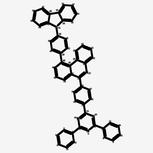 c1ccc(-c2nc(-c3ccccc3)nc(-c3ccc(-c4nc5ccccc5c5c(-c6ccc(-n7c8ccccc8c8ccccc87)cc6)cccc45)cc3)n2)cc1